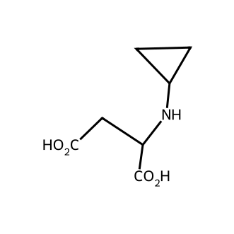 O=C(O)CC(NC1CC1)C(=O)O